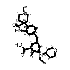 CCN(c1cc(Cc2ccc3c(c2)NC(=O)C32CCN(C)CC2)cc(C(=O)O)c1C)C1CCOCC1